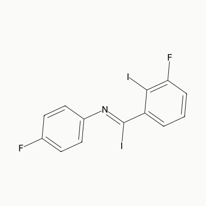 Fc1ccc(N=C(I)c2cccc(F)c2I)cc1